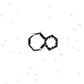 C1=C\O/C=c2/cccc/c2=N/C/1